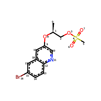 C[C@@H](COS(C)(=O)=O)Oc1cnc2ccc(Br)cc2c1